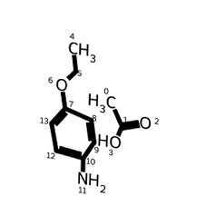 CC(=O)O.CCOc1ccc(N)cc1